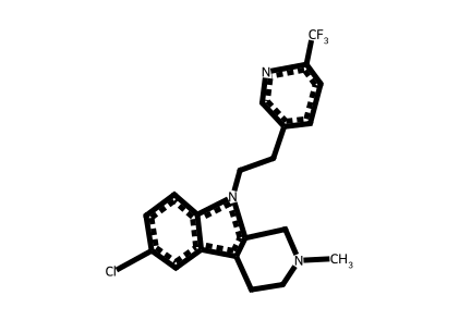 CN1CCc2c(n(CCc3ccc(C(F)(F)F)nc3)c3ccc(Cl)cc23)C1